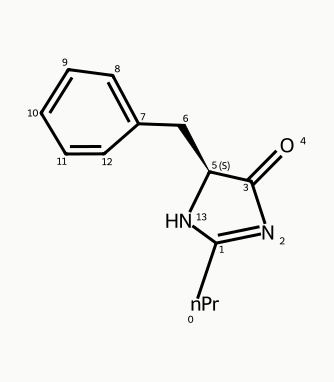 CCCC1=NC(=O)[C@H](Cc2ccccc2)N1